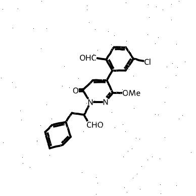 COc1nn(C(C=O)Cc2ccccc2)c(=O)cc1-c1cc(Cl)ccc1C=O